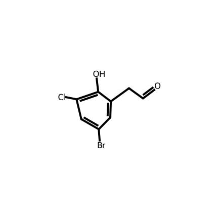 O=CCc1cc(Br)cc(Cl)c1O